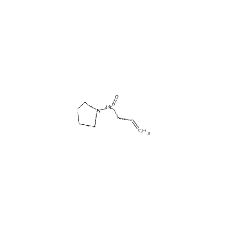 C=C[CH][14C](=O)N1CCCC1